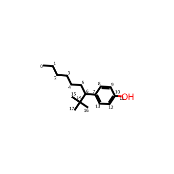 CCCCCCC(c1ccc(O)cc1)C(C)(C)C